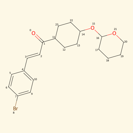 O=C(/C=C/c1ccc(Br)cc1)C1CCC(OC2CCCCO2)CC1